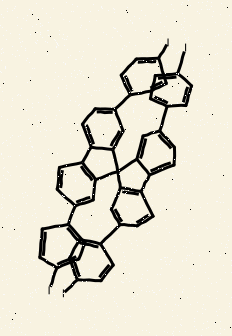 Ic1ccc(-c2ccc3c(c2)C2(c4cc(-c5ccc(I)cc5)ccc4-3)c3cc(-c4ccc(I)cc4)ccc3-c3ccc(-c4ccc(I)cc4)cc32)cc1